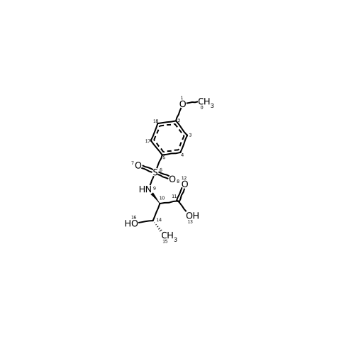 COc1ccc(S(=O)(=O)N[C@@H](C(=O)O)[C@H](C)O)cc1